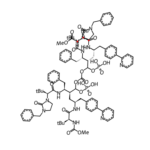 COC(=O)N[C@H](C(=O)N[C@H](Cc1ccc(-c2ccccn2)cc1)C[C@H](C(OC(=O)OC(OP(=O)(O)O)[C@@H](C[C@@H](Cc1ccc(-c2ccccn2)cc1)NC(=O)[C@@H](NC(=O)OC)C(C)(C)C)[C@H](Cc1ccccc1)NC(=O)[C@@H](N1CCN(Cc2ccccc2)C1=O)C(C)(C)C)OP(=O)(O)O)[C@H](Cc1ccccc1)NC(=O)[C@@H](N1CCN(Cc2ccccc2)C1=O)C(C)(C)C)C(C)(C)C